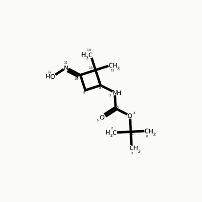 CC(C)(C)OC(=O)NC1CC(=NO)C1(C)C